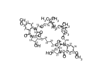 COc1ccc2c(c1)C(=O)N1CC(O)CC1(OCCCCCO[C@]13C[C@@H](O)CN1C(=O)c1cc(OC)ccc1N(COCC[Si](C)(C)C)C3=O)C(=O)N2COCC[Si](C)(C)C